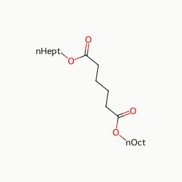 CCCCCCCCOC(=O)CCCCC(=O)OCCCCCCC